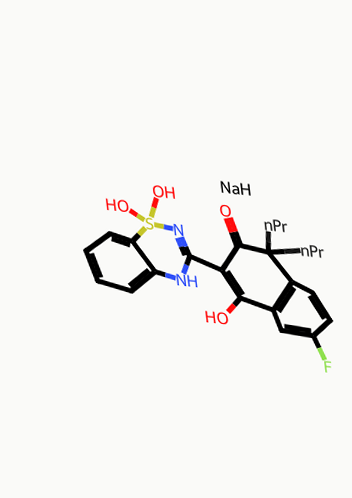 CCCC1(CCC)C(=O)C(C2=NS(O)(O)c3ccccc3N2)=C(O)c2cc(F)ccc21.[NaH]